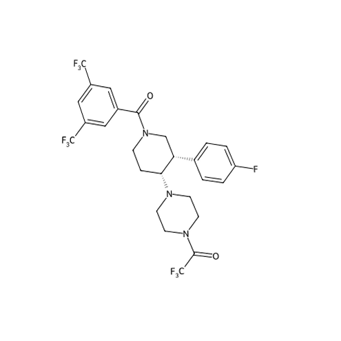 O=C(c1cc(C(F)(F)F)cc(C(F)(F)F)c1)N1CC[C@@H](N2CCN(C(=O)C(F)(F)F)CC2)[C@@H](c2ccc(F)cc2)C1